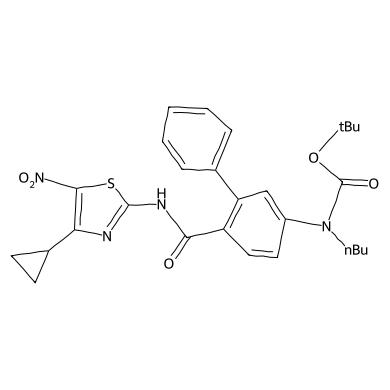 CCCCN(C(=O)OC(C)(C)C)c1ccc(C(=O)Nc2nc(C3CC3)c([N+](=O)[O-])s2)c(-c2ccccc2)c1